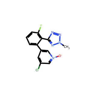 Cn1nnc(-c2c(F)cccc2-c2cc(Cl)c[n+]([O-])c2)n1